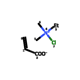 C=CC(=O)[O-].CC[N+](C)(C)Cl